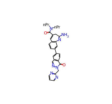 CCCN(CCC)C(=O)C1=Cc2ccc(-c3ccc4c(=O)n(Cc5ncccn5)ncc4c3)cc2N=C(N)C1